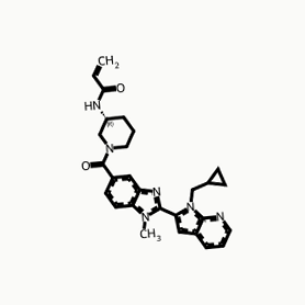 C=CC(=O)N[C@@H]1CCCN(C(=O)c2ccc3c(c2)nc(-c2cc4cccnc4n2CC2CC2)n3C)C1